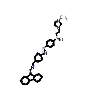 CCN(CCN1C=CN(C)C1)c1ccc(/N=N/c2ccc(/C=N/N=C3c4ccccc4-c4ccccc43)cc2)cc1